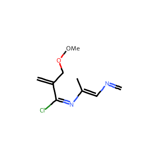 C=N/C=C(C)/N=C(/Cl)C(=C)COOC